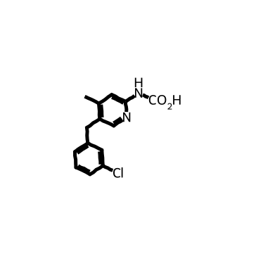 Cc1cc(NC(=O)O)ncc1Cc1cccc(Cl)c1